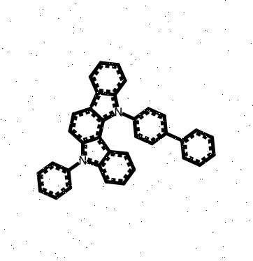 c1ccc(-c2ccc(-n3c4ccccc4c4ccc5c(c6ccccc6n5-c5ccccc5)c43)cc2)cc1